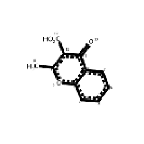 Cc1oc2ccccc2c(=O)c1C(=O)O